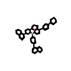 c1ccc(-c2ccc(-c3ccc(N(c4ccc(-c5cccc6ccccc56)cc4)c4cc(-c5cccc6ccccc56)ccc4-c4ccccc4)cc3)cc2)cc1